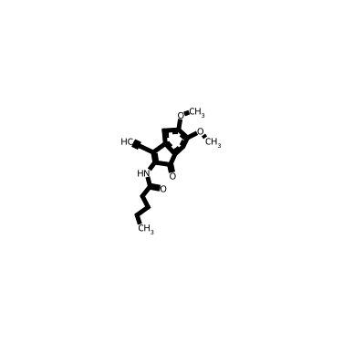 C#CC1=C(NC(=O)CCCC)C(=O)c2cc(OC)c(OC)cc21